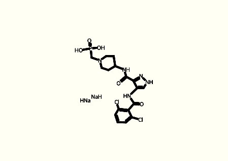 O=C(NC1CCN(CP(=O)(O)O)CC1)c1n[nH]cc1NC(=O)c1c(Cl)cccc1Cl.[NaH].[NaH]